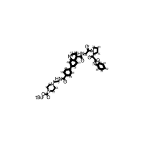 CC(C)(C)OC(=O)N1CCN(CCNC(=O)c2ccc(-c3ccc4c(C(=O)NCC(=O)N5CCC[C@H]5C(=O)c5nc6ccccc6o5)ccnc4c3)cc2)CC1